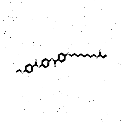 C=CC(=O)OCCCCCCCCOc1ccc(C(=O)Oc2ccc(OC(=O)c3ccc(OCC)cc3)cc2)cc1